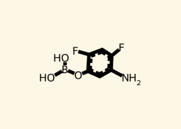 Nc1cc(OB(O)O)c(F)cc1F